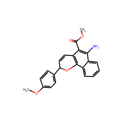 COC(=O)c1c2c(c3ccccc3c1N)OC(c1ccc(OC)cc1)C=C2